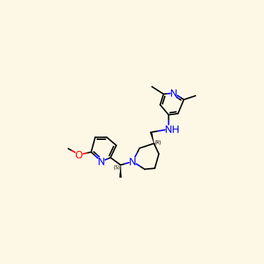 COc1cccc([C@H](C)N2CCC[C@H](CNc3cc(C)nc(C)c3)C2)n1